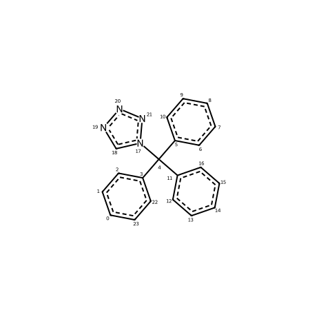 c1ccc(C(c2ccccc2)(c2ccccc2)n2cnnn2)cc1